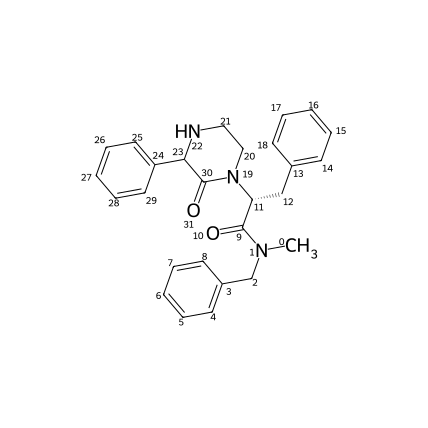 CN(Cc1ccccc1)C(=O)[C@@H](Cc1ccccc1)N1CCNC(c2ccccc2)C1=O